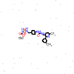 Cc1cccc(-c2nc(C(F)(F)F)ccc2CNC(=O)Nc2ccc(CNS(=O)(=O)NC(=O)OC(C)(C)C)cc2)c1